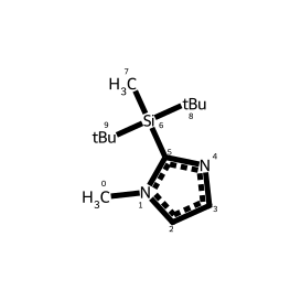 Cn1ccnc1[Si](C)(C(C)(C)C)C(C)(C)C